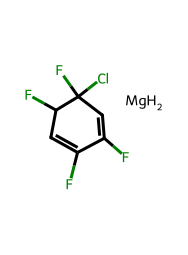 FC1=CC(F)C(F)(Cl)C=C1F.[MgH2]